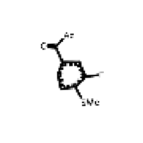 CSc1ccc(C(=O)C(C)=O)cc1F